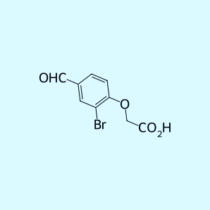 O=Cc1ccc(OCC(=O)O)c(Br)c1